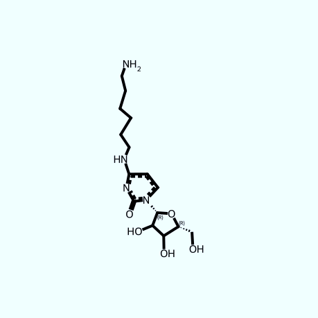 NCCCCCCNc1ccn([C@@H]2O[C@H](CO)C(O)C2O)c(=O)n1